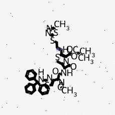 CON=C(C(=O)NC1C(=O)N2C(C(=O)OC(C)(C)C)=C(/C=C/CSc3nnc(C)s3)SCC12)c1csc(NC(c2ccccc2)(c2ccccc2)c2ccccc2)n1